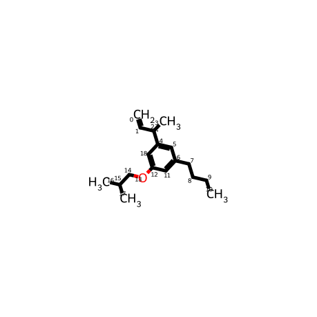 C=C[C](C)c1cc(CCCC)cc(OCC(C)C)c1